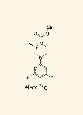 COC(=O)c1c(F)cc(N2CCN(C(=O)OC(C)(C)C)[C@H](C)C2)cc1F